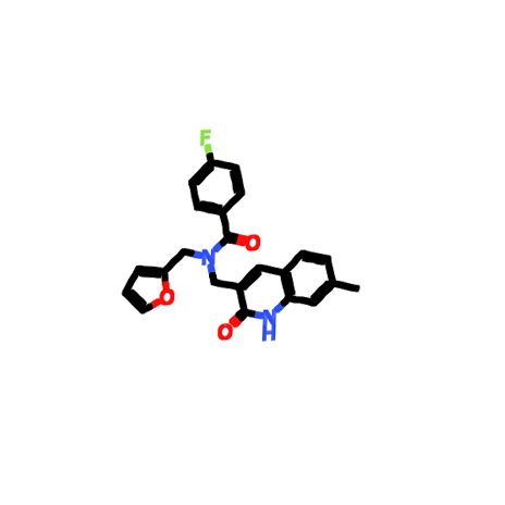 Cc1ccc2cc(CN(Cc3ccco3)C(=O)c3ccc(F)cc3)c(=O)[nH]c2c1